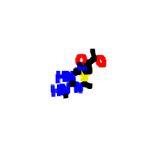 CNC(=NC(C)SCC(=O)C(C)=O)NC#N